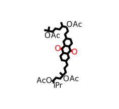 CC(=O)OC(CCC(C)(CCCC1CCC2C(=O)C3CC(CCC(OC(C)=O)C(C)CCCC(C)(C)OC(C)=O)CCC3C(=O)C2C1)OC(C)=O)C(C)C